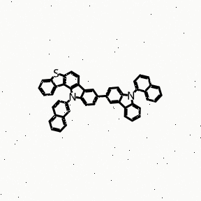 c1ccc2cc(-n3c4ccc(-c5ccc6c(c5)c5ccccc5n6-c5cccc6ccccc56)cc4c4ccc5sc6ccccc6c5c43)ccc2c1